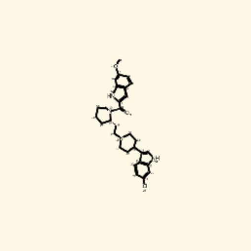 COc1ccc2cc(C(=O)N3CCCC[C@H]3CCN3CCC(c4c[nH]c5cc(Cl)ccc45)CC3)[nH]c2c1